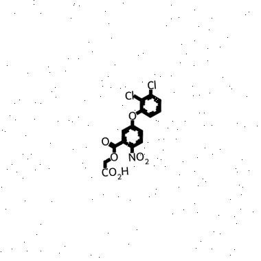 O=C(O)COC(=O)c1cc(Oc2cccc(Cl)c2Cl)ccc1[N+](=O)[O-]